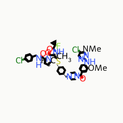 CNc1nc(Nc2ccc(C(=O)N3CCN(C[C@H]4CC[C@@H](CSC(C)(C)[C@H](NC(=O)C5(F)CC5)C(=O)N5CCCC5C(=O)NCc5ccc(Cl)cc5)CC4)CC3)cc2OC)ncc1Cl